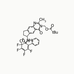 Cc1nc2cc3c(cc2c(=O)n1COC(=O)C(C)(C)C)C(NC1(F)C(c2ccccc2)=C(F)C(F)=C(F)C1(F)C(=O)O)CC3